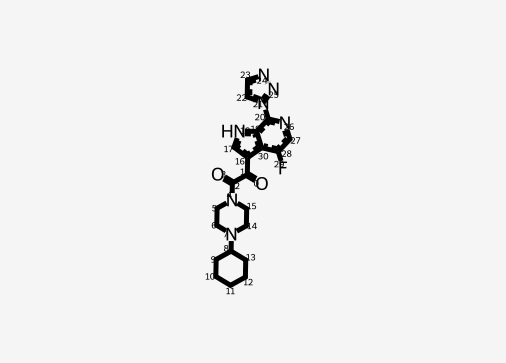 O=C(C(=O)N1CCN(C2CCCCC2)CC1)c1c[nH]c2c(-n3ccnn3)ncc(F)c12